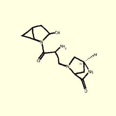 N#CC1CC2CC2N1C(=O)C(N)CN1C[C@@H]2CC1C(=O)N2